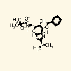 C[C@H]1[C@H](OCc2ccccc2)[C@H]2N=C(N(C)C)S[C@H]2O[C@@H]1C=N[S+]([O-])C(C)(C)C